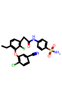 CCc1ccc(CC(=O)Nc2ccc(S(N)(=O)=O)cc2)c(F)c1Oc1cc(C#N)ccc1Cl